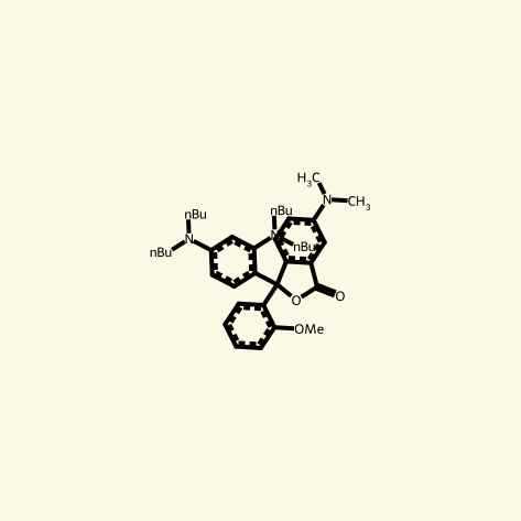 CCCCN(CCCC)c1ccc(C2(c3ccccc3OC)OC(=O)c3cc(N(C)C)ccc32)c(N(CCCC)CCCC)c1